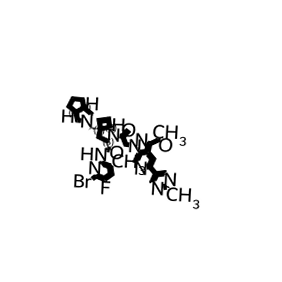 CC(=O)c1nn(CC(=O)N2[C@H](C(=O)Nc3nc(Br)c(F)cc3C)C[C@@]3(CN4C[C@H]5CCC[C@H]5C4)C=C[C@@H]23)c2cnc(-c3cnc(C)nc3)cc12